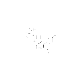 CC(C)CC(C)(NC(=O)c1cc(OCC(F)(F)F)c(C2CC2)cn1)C(N)=O